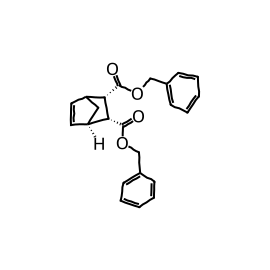 O=C(OCc1ccccc1)[C@@H]1[C@H]2C=CC(C2)[C@@H]1C(=O)OCc1ccccc1